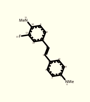 CNc1ccc(/C=C/c2ccc(NC)c(F)c2)cc1